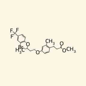 COC(=O)CCc1ccc(OCCC(C)Oc2ccc(C(F)(F)F)cc2Br)cc1C